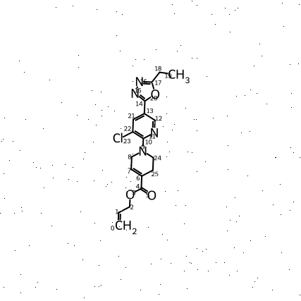 C=CCOC(=O)C1=CCN(c2ncc(-c3nnc(CC)o3)cc2Cl)CC1